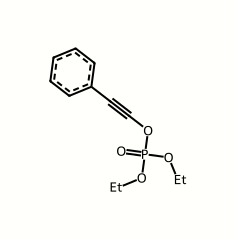 CCOP(=O)(OC#Cc1ccccc1)OCC